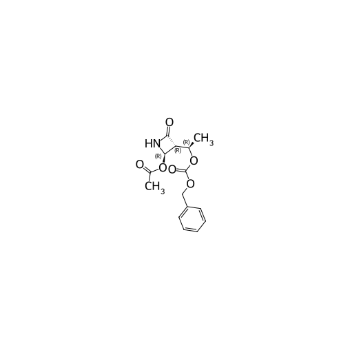 CC(=O)O[C@H]1NC(=O)[C@@H]1[C@@H](C)OC(=O)OCc1ccccc1